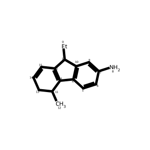 CCC1C2=C(c3ccc(N)cc31)C(C)CC=C2